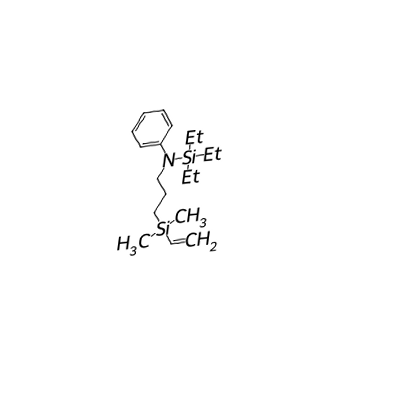 C=C[Si](C)(C)CCCN(c1ccccc1)[Si](CC)(CC)CC